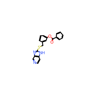 O=C(Oc1cccc(CSc2nc3cnccc3[nH]2)c1)c1ccccc1